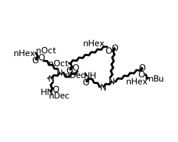 CCCCCCCCCCNC(=O)CCCCN(C)CCN(CCCCCCCCC(=O)OCC(CCCC)CCCCCC)CCCCCCCCC(=O)OCC(CCCCCC)CCCCCCCCCCC(CCCCCCCC)C(=O)OCCCCCCN(CCCCCCOC(=O)C(CCCCCC)CCCCCCCC)CCN(C)CCC(=O)NCCCCCCCCCC